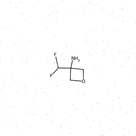 NC1(C(F)F)COC1